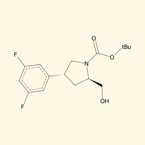 CC(C)(C)OC(=O)N1C[C@@H](c2cc(F)cc(F)c2)C[C@@H]1CO